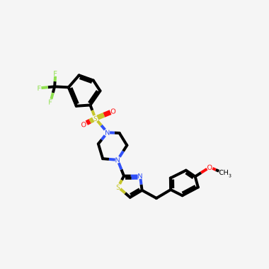 COc1ccc(Cc2csc(N3CCN(S(=O)(=O)c4cccc(C(F)(F)F)c4)CC3)n2)cc1